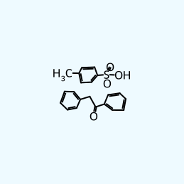 Cc1ccc(S(=O)(=O)O)cc1.O=C(Cc1ccccc1)c1ccccc1